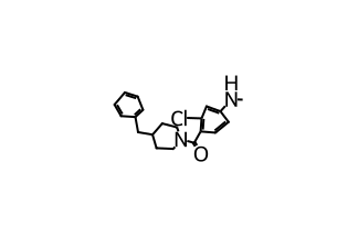 CNc1ccc(C(=O)N2CCC(Cc3ccccc3)CC2)c(Cl)c1